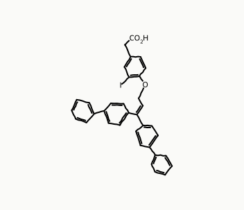 O=C(O)Cc1ccc(OCC=C(c2ccc(-c3ccccc3)cc2)c2ccc(-c3ccccc3)cc2)c(I)c1